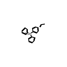 C=CC.c1cc[c]([SnH]([c]2ccccc2)[c]2ccccc2)cc1